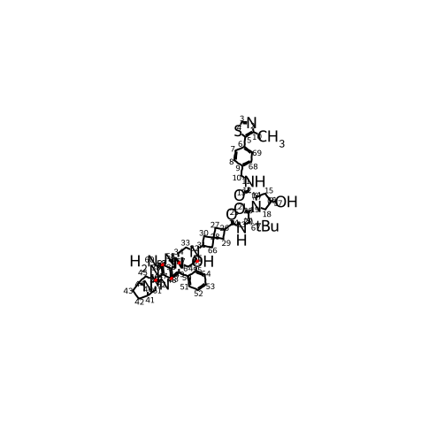 Cc1ncsc1-c1ccc(CNC(=O)[C@@H]2C[C@@H](O)CN2C(=O)[C@@H](NC(=O)C2CC3(C2)CC(N2CCN(c4cnc(N5C6CCC5CN(c5cc(-c7ccccc7O)nnc5N)C6)nc4)CC2)C3)C(C)(C)C)cc1